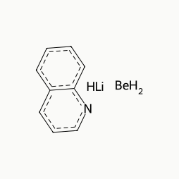 [BeH2].[LiH].c1ccc2ncccc2c1